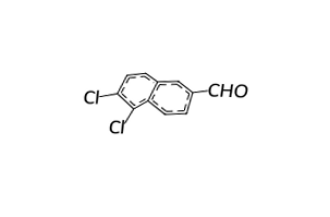 O=Cc1ccc2c(Cl)c(Cl)ccc2c1